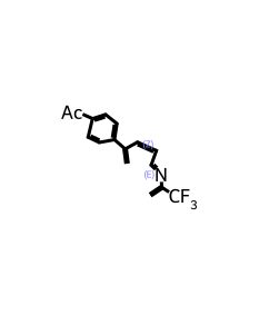 C=C(/C=C\C=N\C(=C)C(F)(F)F)c1ccc(C(C)=O)cc1